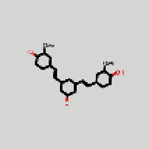 COC1CC(/C=C/C2CC(O)CC(/C=C/C3CCC(O)C(OC)C3)C2)CCC1O